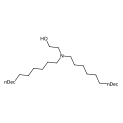 CCCCCCCCCCCCCCCCN(CCO)CCCCCCCCCCCCCCCC